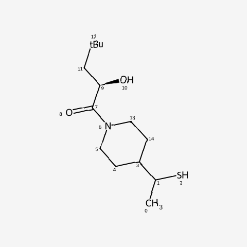 CC(S)C1CCN(C(=O)[C@H](O)CC(C)(C)C)CC1